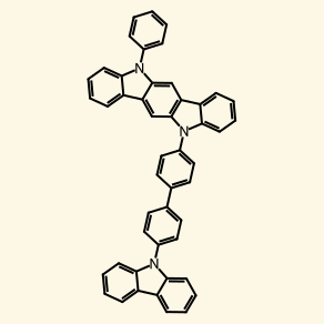 c1ccc(-n2c3ccccc3c3cc4c(cc32)c2ccccc2n4-c2ccc(-c3ccc(-n4c5ccccc5c5ccccc54)cc3)cc2)cc1